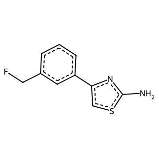 Nc1nc(-c2cccc(CF)c2)cs1